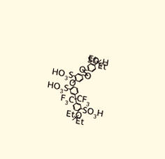 CCC(C)(CC)Oc1ccc(C(c2ccc(Oc3ccc(S(=O)(=O)c4ccc(C(C)(CC)CC)c(S(=O)(=O)O)c4)cc3S(=O)(=O)O)c(S(=O)(=O)O)c2)(C(F)(F)F)C(F)(F)F)cc1S(=O)(=O)O